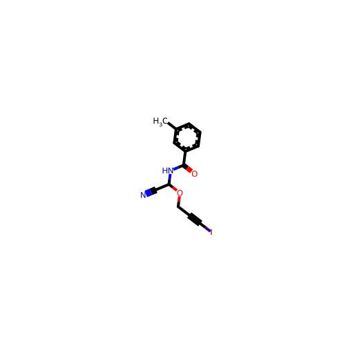 Cc1cccc(C(=O)NC(C#N)OCC#CI)c1